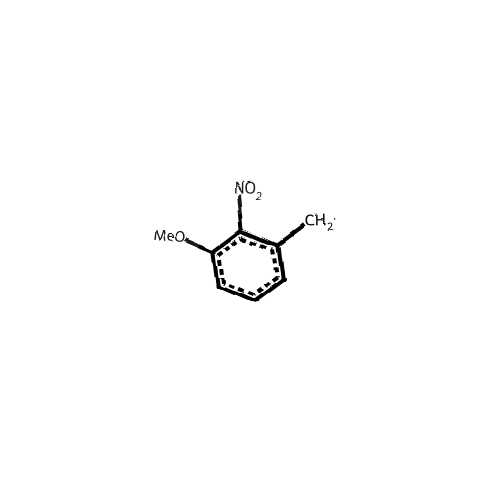 [CH2]c1cccc(OC)c1[N+](=O)[O-]